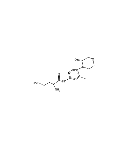 CSCCC(N)C(=O)Nc1ccc(N2CCOCC2=O)c(C)c1